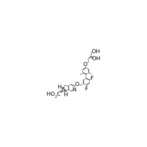 Cc1cc(OCC[C@H](O)CO)cc(C)c1-c1cc(COc2cc3c(cn2)[C@H]2[C@@H](C3)[C@@H]2C(=O)O)c(F)cc1F